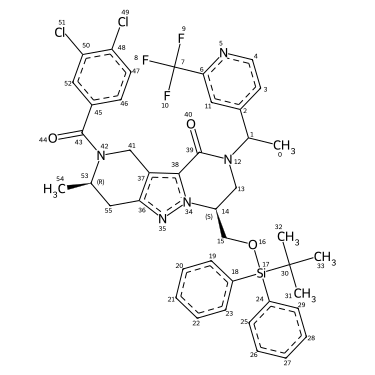 CC(c1ccnc(C(F)(F)F)c1)N1C[C@@H](CO[Si](c2ccccc2)(c2ccccc2)C(C)(C)C)n2nc3c(c2C1=O)CN(C(=O)c1ccc(Cl)c(Cl)c1)[C@H](C)C3